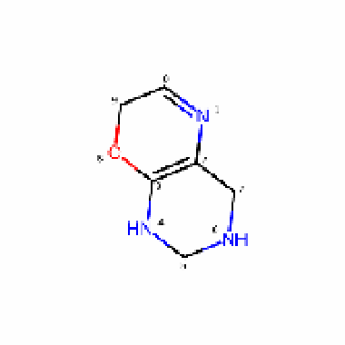 C1=NC2=C(NCNC2)OC1